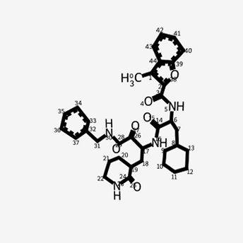 Cc1c(C(=O)NC(CC2CCCCC2)C(=O)NC(CC2CCCNC2=O)C(=O)C(=O)NCc2ccccc2)oc2ccccc12